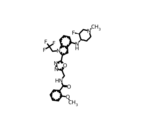 COc1ccccc1C(=O)NCc1nnc(-c2cc3c(N[C@@H]4CCN(C)C[C@@H]4F)cccc3n2CC(F)(F)F)o1